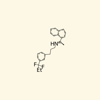 CCC(F)(F)c1cccc(CCCN[C@H](C)c2cccc3ccccc23)c1